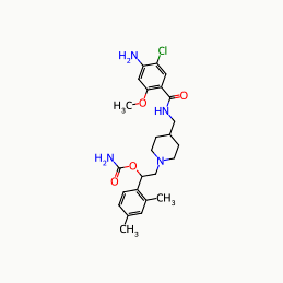 COc1cc(N)c(Cl)cc1C(=O)NCC1CCN(CC(OC(N)=O)c2ccc(C)cc2C)CC1